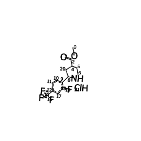 COC(=O)C1CCNC(c2ccc(C(F)(F)F)cc2F)C1.Cl